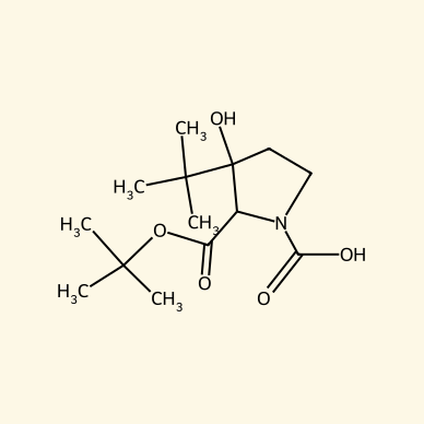 CC(C)(C)OC(=O)C1N(C(=O)O)CCC1(O)C(C)(C)C